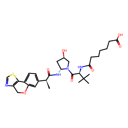 C[C@H](C(=O)N[C@@H]1C[C@@H](O)CN1C(=O)[C@@H](NC(=O)CCCCCC(=O)O)C(C)(C)C)c1ccc2c(c1)OCc1ncsc1-2